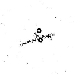 C=C(SCC(C)(C)C(=O)O)c1cccc(OCCOCCOCCOC)c1OC(=O)N(C)c1ccccc1